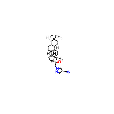 CC1(C)CCC2C(CC[C@@H]3[C@@H]2CC[C@]2(C)[C@@H](C(=O)Cn4cc(C#N)cn4)CC[C@@H]32)C1